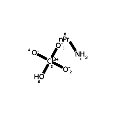 CCCN.[O-][Cl+3]([O-])([O-])O